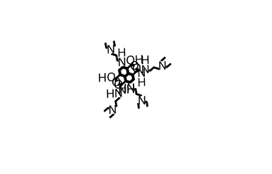 CCN(CC)CCCNNC(=O)c1cc(NCCCN(CC)CC)c(C(=O)NNCCCN(CC)CC)c2c(C(=O)O)cc(NCCCN(CC)CC)c(C(=O)O)c12